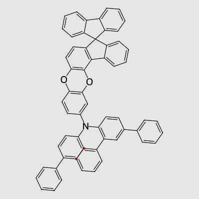 c1ccc(-c2ccc(N(c3ccc4c(c3)Oc3c(ccc5c3-c3ccccc3C53c5ccccc5-c5ccccc53)O4)c3ccc(-c4ccccc4)cc3-c3ccccc3)cc2)cc1